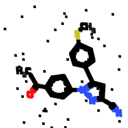 CSc1ccc(-c2cc(C#N)nn2-c2ccc(C(C)=O)cc2)cc1